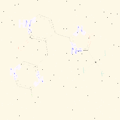 O=c1[nH]ccc(-c2noc(C(F)(F)F)n2)c1Cc1cncc(Cl)n1